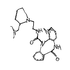 CN(C)CC1CCCCN1CCNC(=O)N1c2ccccc2C(=O)Nc2cccnc21